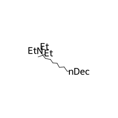 CCCCCCCCCCCCCCCCCC(C)(CC)N(CC)CC